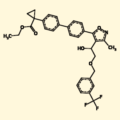 CCOC(=O)C1(c2ccc(-c3ccc(-c4onc(C)c4C(O)COCc4cccc(C(F)(F)F)c4)cc3)cc2)CC1